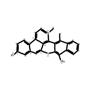 Cc1c2c(c(C(C)(C)C)c3ccccc13)Sc1cc3cc(C(C)C)ccc3c3cc[n+](C)c-2c13